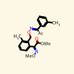 CO/N=C(/C(=O)OC)c1cccc(C)c1CO/N=C(\C(C)=O)c1cccc(C)c1